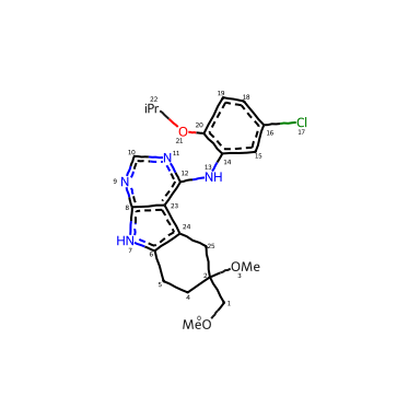 COCC1(OC)CCc2[nH]c3ncnc(Nc4cc(Cl)ccc4OC(C)C)c3c2C1